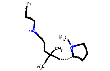 CC(C)CCNCCC(C)(C)C[C@H]1CCCN1C